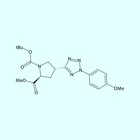 COC(=O)[C@@H]1C[C@@H](c2nnn(-c3ccc(OC)cc3)n2)CN1C(=O)OC(C)(C)C